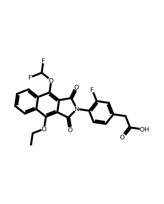 CCOc1c2c(c(OC(F)F)c3ccccc13)C(=O)N(c1ccc(CC(=O)O)cc1F)C2=O